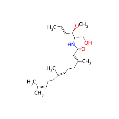 C/C=C/[C@@H](OC)[C@H](CO)NC(=O)/C=C(\C)CC/C=C(\C)CCC=C(C)C